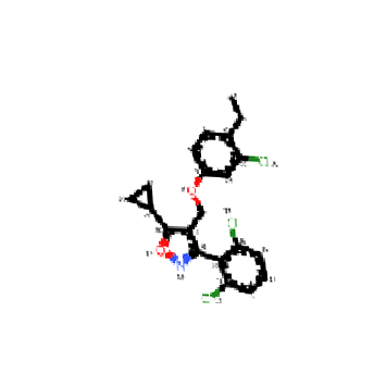 CCc1ccc(OCc2c(-c3c(Cl)cccc3Cl)noc2C2CC2)cc1Cl